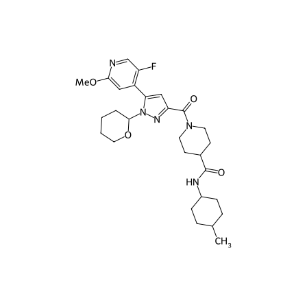 COc1cc(-c2cc(C(=O)N3CCC(C(=O)NC4CCC(C)CC4)CC3)nn2C2CCCCO2)c(F)cn1